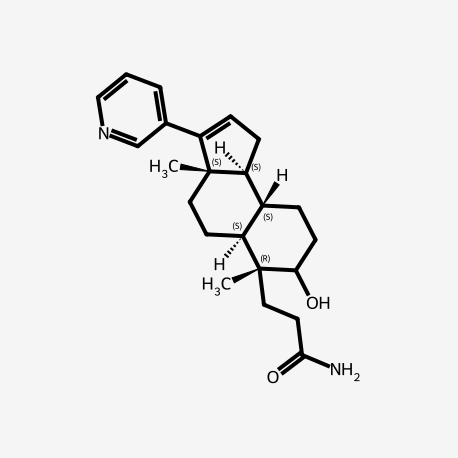 C[C@]1(CCC(N)=O)C(O)CC[C@@H]2[C@@H]1CC[C@]1(C)C(c3cccnc3)=CC[C@@H]21